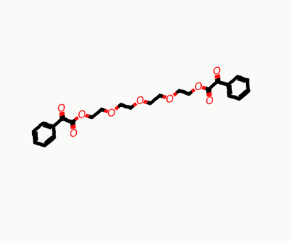 O=C(OCCOCCOCCOCCOC(=O)C(=O)c1ccccc1)C(=O)c1ccccc1